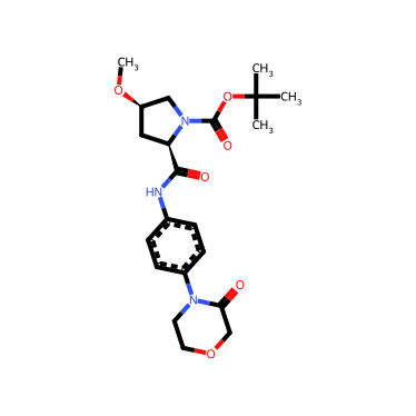 CO[C@@H]1C[C@H](C(=O)Nc2ccc(N3CCOCC3=O)cc2)N(C(=O)OC(C)(C)C)C1